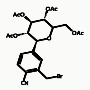 CC(=O)OCC1O[C@@H](c2ccc(C#N)c(CBr)c2)[C@H](OC(C)=O)[C@@H](OC(C)=O)[C@@H]1OC(C)=O